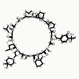 CC[C@H](C)[C@@H]1NC(=O)[C@H](CC(C)C)N(C)C(=O)C[C@@H](C)NC(=O)[C@H](C(C)C)N(C)C(=O)C2(CCCC2)NC(=O)[C@@H]2CCCN2C(=O)[C@H](CCc2ccc(C(F)(F)F)c(Cl)c2)NC(=O)CN(C)C(=O)[C@H](CC2CCCCC2)N(C)C(=O)CN(C)C(=O)CN(CCN2CCC(F)(F)CC2)C1=O